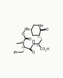 CC(C)C[C@@H](C(=O)N[C@@H](C[C@@H]1CCCNC1=O)C(=O)O)N(C)C(=O)OC(C)(C)C